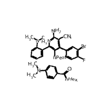 CCCCCCC(=O)c1ccc(N(C)C)cc1.CCCCCc1c(-c2ccccc2N(C)C)nc(N)c(C#N)c1-c1ccc(F)c(Br)c1